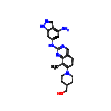 Cc1c(N2CCC(CO)CC2)ccc2cnc(Nc3cc(N)c4cn[nH]c4c3)nc12